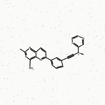 Cc1nc(N)c2nc(-c3cccc(C#C[C@H](C)c4cnccn4)c3)ccc2n1